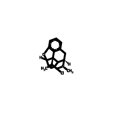 CC1CN(C)[C@@H]2Cc3cccc4c3[C@@]13C2C(Cl)C=C[C@@H]3O4